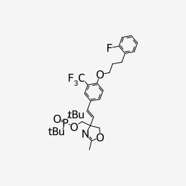 CC1=NC(/C=C/c2ccc(OCCCc3ccccc3F)c(C(F)(F)F)c2)(COP(=O)(C(C)(C)C)C(C)(C)C)CO1